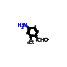 CCc1cc(N)ccc1[C]=O